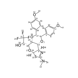 COc1ccc(CO[C@@H]2[C@H]3N=C(N(C)C)S[C@H]3O[C@H](C(O)C(F)(F)F)[C@@H]2OCc2ccc(OC)cc2)cc1